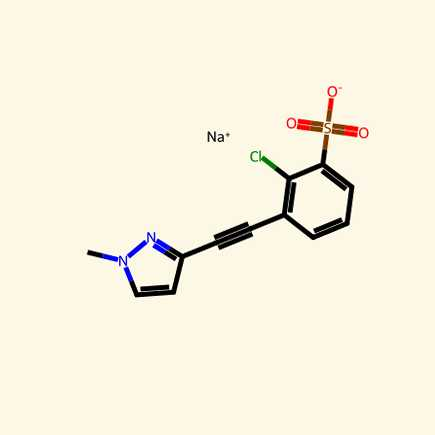 Cn1ccc(C#Cc2cccc(S(=O)(=O)[O-])c2Cl)n1.[Na+]